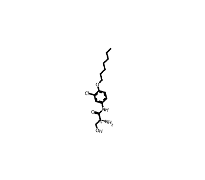 CCCCCCCOc1ccc(NC(=O)[C@@H](N)CO)cc1Cl